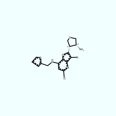 N[C@H]1COC[C@H]1c1oc2c(NCc3cccs3)cc(Cl)nc2c1Br